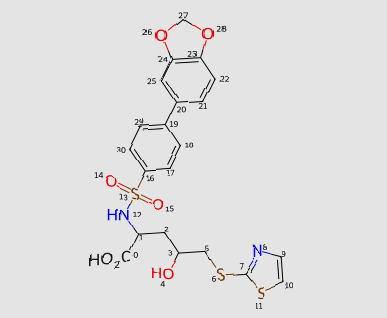 O=C(O)C(CC(O)CSc1nccs1)NS(=O)(=O)c1ccc(-c2ccc3c(c2)OCO3)cc1